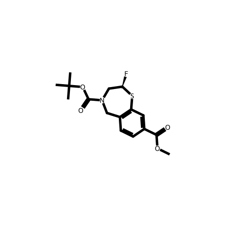 COC(=O)c1ccc2c(c1)S[C@H](F)CN(C(=O)OC(C)(C)C)C2